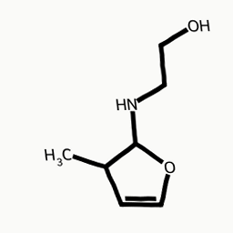 CC1C=COC1NCCO